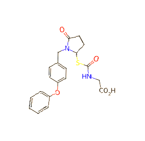 O=C(O)CNC(=O)SC1CCC(=O)N1Cc1ccc(Oc2ccccc2)cc1